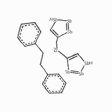 [CH]1=[C]([Zr][C]2=[CH][SbH][Sb]=[Sb]2)[Sb]=[Sb][SbH]1.c1ccc(CCc2ccccc2)cc1